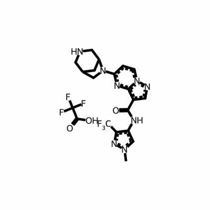 Cn1cc(NC(=O)c2cnn3ccc(N4CC5CNCC4C5)nc23)c(C(F)(F)F)n1.O=C(O)C(F)(F)F